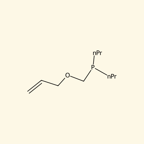 C=CCOCP(CCC)CCC